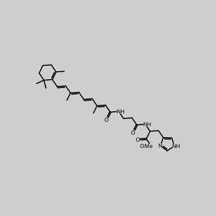 COC(=O)C(Cc1c[nH]cn1)NC(=O)CCNC(=O)/C=C(C)/C=C/C=C(C)/C=C/C1=C(C)CCCC1(C)C